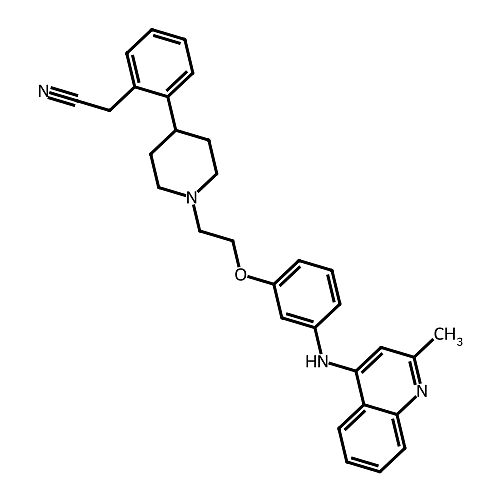 Cc1cc(Nc2cccc(OCCN3CCC(c4ccccc4CC#N)CC3)c2)c2ccccc2n1